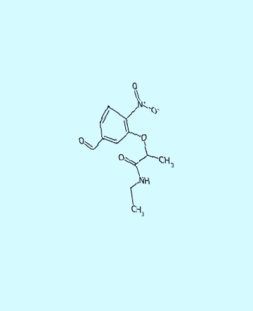 CCNC(=O)C(C)Oc1cc(C=O)ccc1[N+](=O)[O-]